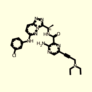 CCN(CC)CC#Cc1cnc(N)c(C(=O)N[C@H](C)c2nnc3ccc(Nc4cccc(Cl)c4)nn23)n1